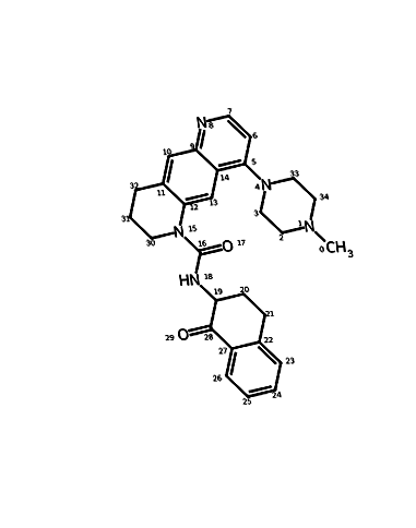 CN1CCN(c2ccnc3cc4c(cc23)N(C(=O)NC2CCc3ccccc3C2=O)CCC4)CC1